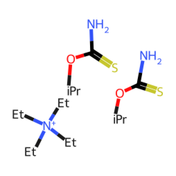 CC(C)OC(N)=S.CC(C)OC(N)=S.CC[N+](CC)(CC)CC